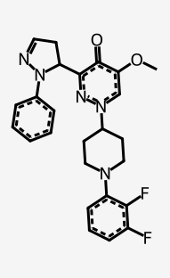 COc1cn(C2CCN(c3cccc(F)c3F)CC2)nc(C2CC=NN2c2ccccc2)c1=O